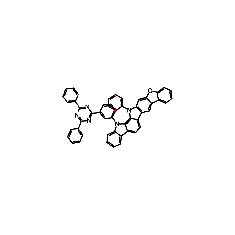 c1ccc(-c2nc(-c3ccccc3)nc(-c3cccc(-n4c5ccccc5c5ccc6c7cc8c(cc7n(-c7ccccc7)c6c54)oc4ccccc48)c3)n2)cc1